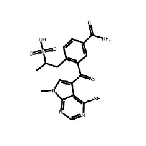 CC(Cc1ccc(C(N)=O)cc1C(=O)c1cn(C)c2ncnc(N)c12)S(=O)(=O)O